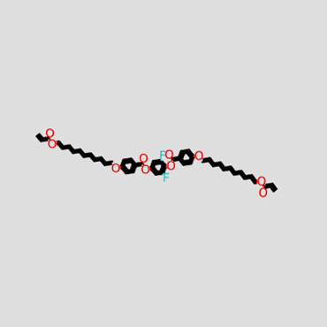 C=CC(=O)OCCCCCCCCCCCOc1ccc(C(=O)Oc2cc(F)c(OC(=O)c3ccc(OCCCCCCCCCCCOC(=O)C=C)cc3)c(F)c2)cc1